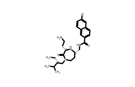 CC[C@H](CN1CC[C@@H](CNC(=O)c2ccc3cc(Cl)ccc3c2)N[C@@H](CCN)C1=O)C(C)C